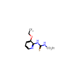 CCOC(=O)NC(=S)Nc1ncccc1OCC(F)(F)F